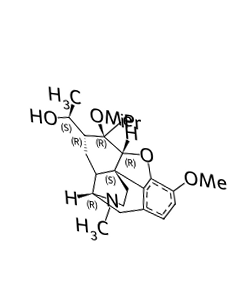 COc1ccc2c3c1O[C@H]1[C@@](OC)(C(C)C)[C@@H]([C@H](C)O)CC4[C@@H](C2)N(C)CC[C@@]341